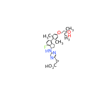 Cc1cc(OCCC(C)(C)O)cc(C)c1-c1ccc(F)c2c1CC[C@H]2Nc1cnc(C2CC2C(=O)O)cn1